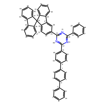 c1ccc(-c2ccc(-c3ccc(-c4nc(-c5ccccc5)nc(-c5ccc6c(c5)-c5ccccc5C65c6ccccc6-c6ccccc65)n4)cc3)cc2)cc1